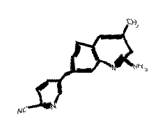 CC1=Cc2ccc(-c3ccc(C#N)nc3)cc2N=C(N)C1